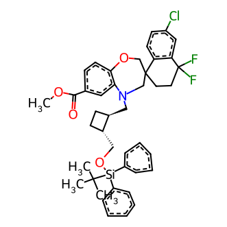 COC(=O)c1ccc2c(c1)N(C[C@@H]1CC[C@H]1CO[Si](c1ccccc1)(c1ccccc1)C(C)(C)C)CC1(CCC(F)(F)c3cc(Cl)ccc31)CO2